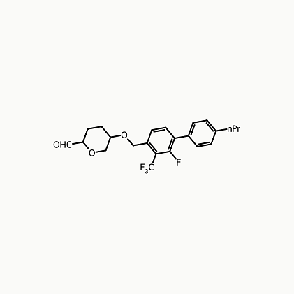 CCCc1ccc(-c2ccc(COC3CCC(C=O)OC3)c(C(F)(F)F)c2F)cc1